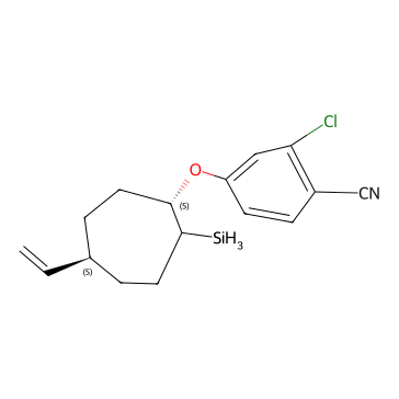 C=C[C@@H]1CCC([SiH3])[C@@H](Oc2ccc(C#N)c(Cl)c2)CC1